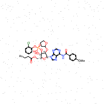 COc1ccc(C(=O)Nc2ncnc3c2ncn3[C@@H]2O[C@H](COC(=O)CCC(C)=O)[C@@](O)(OP(=O)(O)Oc3ccccc3Cl)[C@H]2OC2CCCO2)cc1